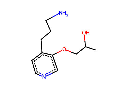 CC(O)COc1cnccc1CCCN